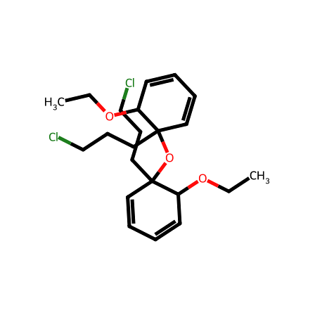 CCOC1C=CC=CC1(CCCCl)OC1(CCCCl)C=CC=CC1OCC